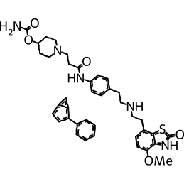 COc1ccc(CCNCCc2ccc(NC(=O)CCN3CCC(OC(N)=O)CC3)cc2)c2sc(=O)[nH]c12.c1ccc(-c2ccc3cc2-3)cc1